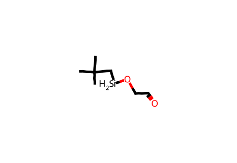 CC(C)(C)C[SiH2]OCC=O